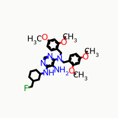 COc1ccc(CN(Cc2ccc(OC)cc2OC)c2ncnc(NC3CCCC(CF)C3)c2N)c(OC)c1